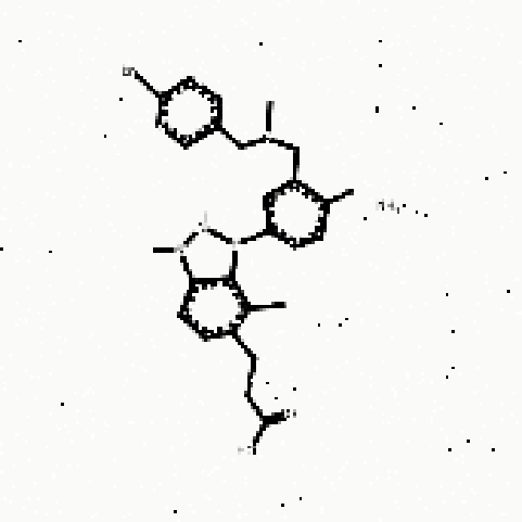 Cc1ccc(N2NN(C)c3ccc(CCC(=O)O)c(C)c32)cc1CN(C)Cc1ccc(Br)cc1.N